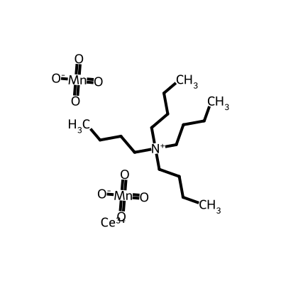 CCCC[N+](CCCC)(CCCC)CCCC.[Ce+3].[O]=[Mn](=[O])(=[O])[O-].[O]=[Mn](=[O])(=[O])[O-]